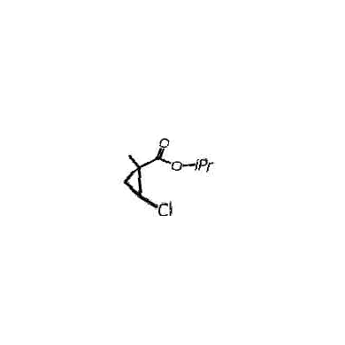 CC(C)OC(=O)C1(C)CC1Cl